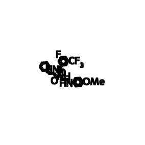 COc1ccc(NCCNC(=O)C(CC2CCCCC2)NC(=O)c2cc(F)cc(C(F)(F)F)c2)cc1